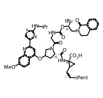 CCCCC/C=C\C1C[C@]1(NC(=O)[C@@H]1CC(Oc2cc(-c3csc(NC(C)C)n3)nc3cc(OC)ccc23)CN1C(=O)CNC(=O)O[C@H](CN1CCc2ccccc2C1=O)C(C)(C)C)C(=O)O